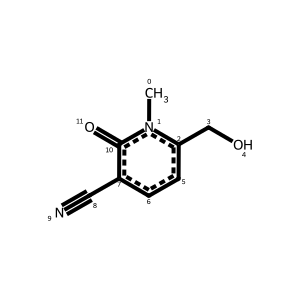 Cn1c(CO)ccc(C#N)c1=O